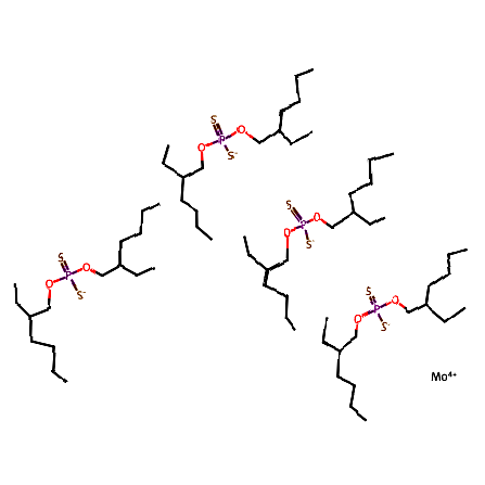 CCCCC(CC)COP(=S)([S-])OCC(CC)CCCC.CCCCC(CC)COP(=S)([S-])OCC(CC)CCCC.CCCCC(CC)COP(=S)([S-])OCC(CC)CCCC.CCCCC(CC)COP(=S)([S-])OCC(CC)CCCC.[Mo+4]